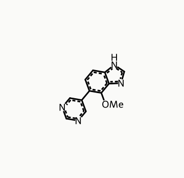 COc1c(-c2cncnc2)ccc2[nH]cnc12